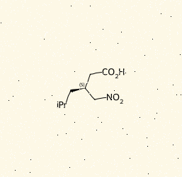 CC(C)C[C@@H](CC(=O)O)C[N+](=O)[O-]